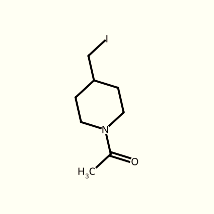 CC(=O)N1CCC(CI)CC1